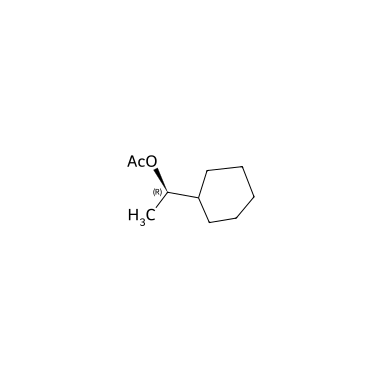 CC(=O)O[C@H](C)C1CCCCC1